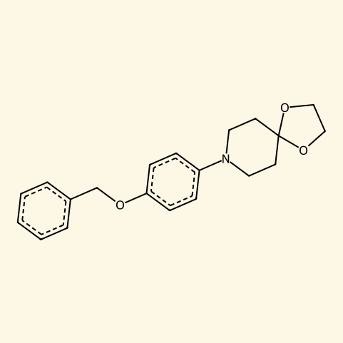 c1ccc(COc2ccc(N3CCC4(CC3)OCCO4)cc2)cc1